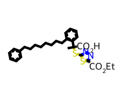 CCOC(=O)c1nnc(SC(C)(C(=O)O)c2ccccc2CCCCCCCCc2ccccc2)s1